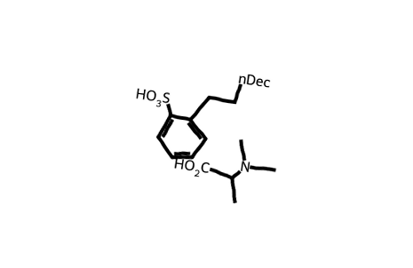 CC(C(=O)O)N(C)C.CCCCCCCCCCCCc1ccccc1S(=O)(=O)O